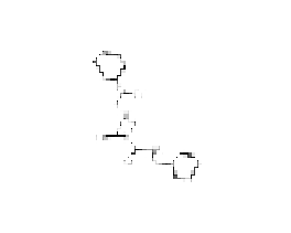 O=C(NCc1ccccc1)N1C[C@@H](C[S+]([O-])c2ccccc2)C1=O